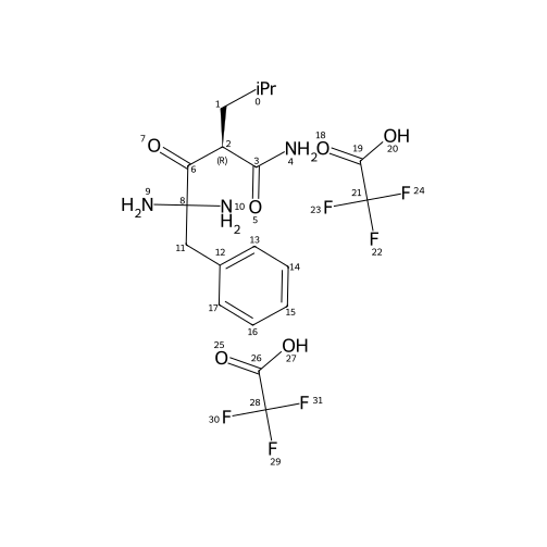 CC(C)C[C@@H](C(N)=O)C(=O)C(N)(N)Cc1ccccc1.O=C(O)C(F)(F)F.O=C(O)C(F)(F)F